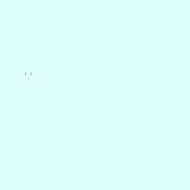 COC(=O)CC=Cc1ccccc1C